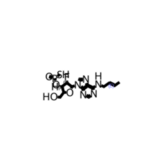 C/C=C/CNc1ncnc2c1ncn2C1OC(CO)[C@@H](O[PH](=O)S)[C@H]1F